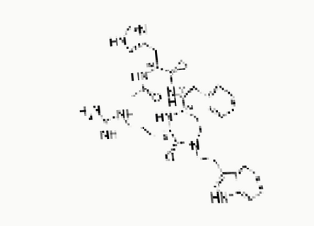 CC(=O)N[C@@H](Cc1c[nH]cn1)C(=O)N[C@@H](Cc1ccccc1)[C@@H]1CCN(CCc2c[nH]c3ccccc23)C(=O)[C@H](CCCNC(=N)N)N1